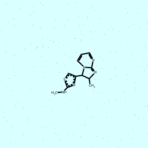 CNc1nc(C2C(C)N=C3N=CC=CN32)cs1